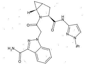 CC(C)n1ccc(NC(=O)[C@@H]2CC3C[C@H]3N2C(=O)Cn2nc(C(N)=O)c3ccccc32)n1